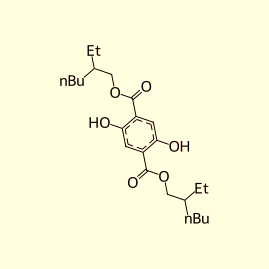 CCCCC(CC)COC(=O)c1cc(O)c(C(=O)OCC(CC)CCCC)cc1O